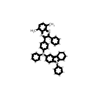 Cc1ccc(C)c2nc(-c3ccc(N(c4ccccc4)c4ccc5c(c4)c4c(n5-c5ccccc5)C=CCC4)cc3)c(-c3ccccc3)nc12